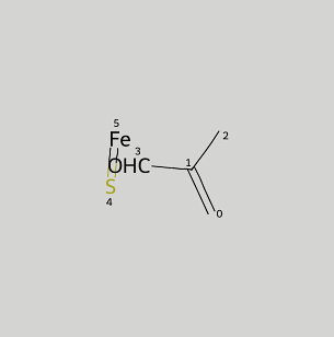 C=C(C)C=O.[S]=[Fe]